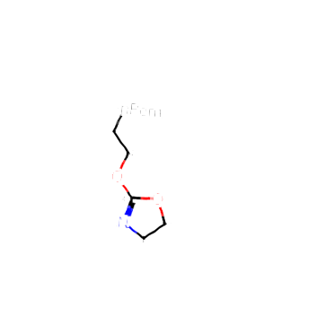 CCCCCCCOC1=NCCO1